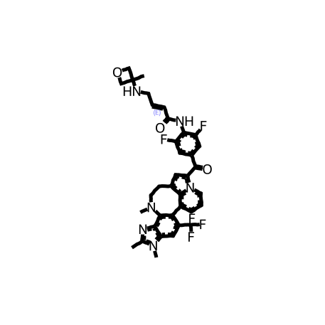 Cc1nc2c3c(c(C(F)(F)F)cc2n1C)-c1cccn2c(C(=O)c4cc(F)c(NC(=O)/C=C/CNC5(C)COC5)c(F)c4)cc(c12)CCN3C